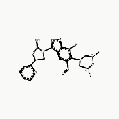 C[C@@H]1CN(c2c(C=O)cc3c(N4CC(c5ccccn5)OC4O)noc3c2F)C[C@@H](C)O1